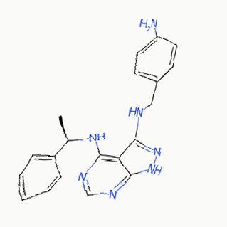 C[C@@H](Nc1ncnc2[nH]nc(NCc3ccc(N)cc3)c12)c1ccccc1